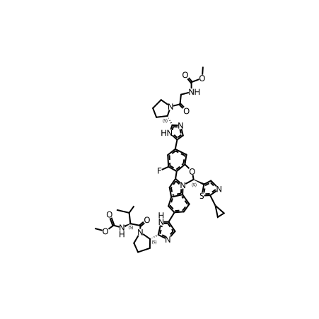 COC(=O)NCC(=O)N1CCC[C@H]1c1ncc(-c2cc(F)c3c(c2)O[C@@H](c2cnc(C4CC4)s2)n2c-3cc3cc(-c4cnc([C@@H]5CCCN5C(=O)[C@@H](NC(=O)OC)C(C)C)[nH]4)ccc32)[nH]1